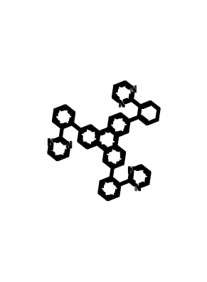 C1=C(c2ccc3c(c2)c2ccc(-c4ccccc4-c4ncccn4)cc2c2ccc(-c4ccccc4-c4ncccn4)cc32)C(c2ncccn2)=CCC1